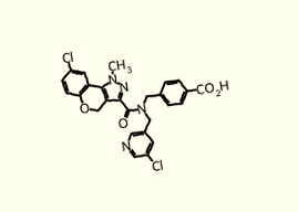 Cn1nc(C(=O)N(Cc2ccc(C(=O)O)cc2)Cc2cncc(Cl)c2)c2c1-c1cc(Cl)ccc1OC2